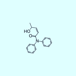 CC(O)/C=C\C(=O)N(c1ccccc1)c1ccccc1